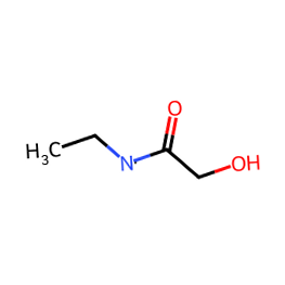 CC[N]C(=O)CO